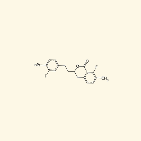 CCCc1ccc(CCC2Cc3ccc(C)c(F)c3C(=O)O2)cc1F